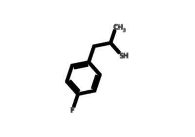 CC(S)Cc1ccc(F)cc1